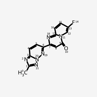 Cc1nc2ccc(-c3cc(=O)n4cc(F)ccc4n3)nn2n1